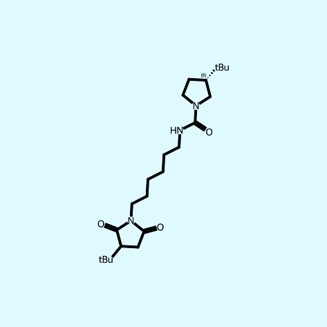 CC(C)(C)C1CC(=O)N(CCCCCCNC(=O)N2CC[C@H](C(C)(C)C)C2)C1=O